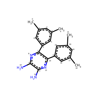 Cc1cc(C)cc(-c2nc(N)c(N)nc2-c2cc(C)cc(C)c2)c1